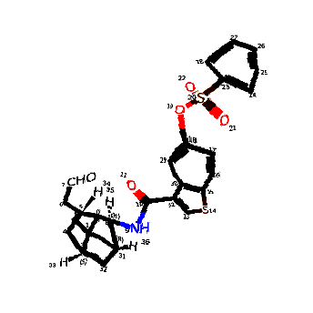 CC1(C)[C@H]2C[C@H](CC=O)[C@@H](NC(=O)c3csc4ccc(OS(=O)(=O)c5ccccc5)cc34)[C@@H]1C2